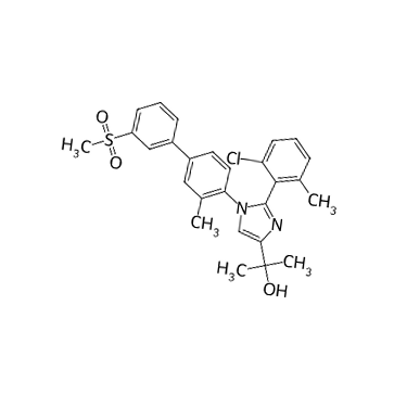 Cc1cc(-c2cccc(S(C)(=O)=O)c2)ccc1-n1cc(C(C)(C)O)nc1-c1c(C)cccc1Cl